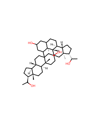 CC(O)[C@H]1CC[C@H]2[C@@H]3CCC4CC(O)CC(C56CC[C@H]7[C@@H]8CC[C@H](C(C)O)[C@@]8(C)CC[C@@H]7[C@@]5(C)CCC(O)C6)[C@]4(C)[C@H]3CC[C@]12C